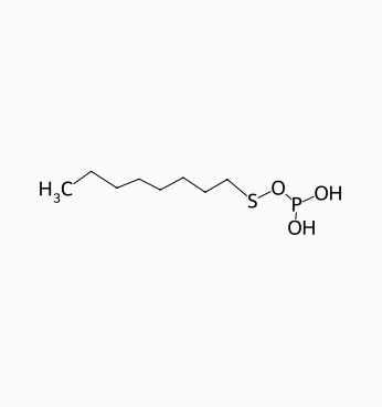 CCCCCCCCSOP(O)O